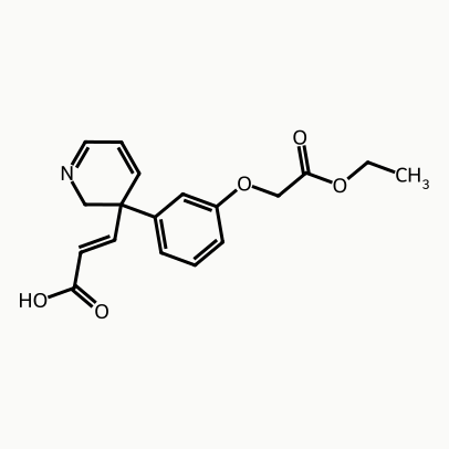 CCOC(=O)COc1cccc(C2(/C=C/C(=O)O)C=CC=NC2)c1